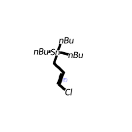 CCC[CH2][Sn]([CH2]/C=C/Cl)([CH2]CCC)[CH2]CCC